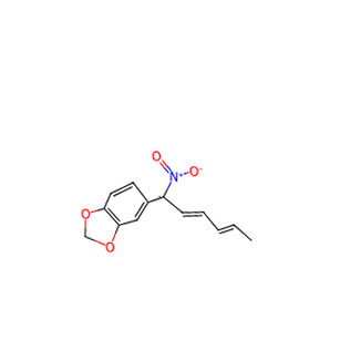 CC=CC=C[C](c1ccc2c(c1)OCO2)[N+](=O)[O-]